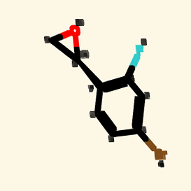 Fc1cc(Br)ccc1[C@H]1CO1